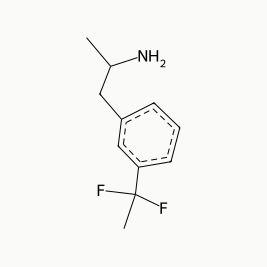 CC(N)Cc1cccc(C(C)(F)F)c1